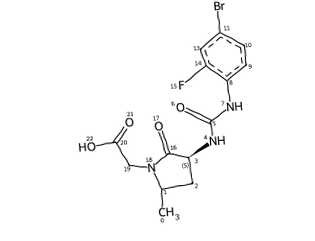 CC1C[C@H](NC(=O)Nc2ccc(Br)cc2F)C(=O)N1CC(=O)O